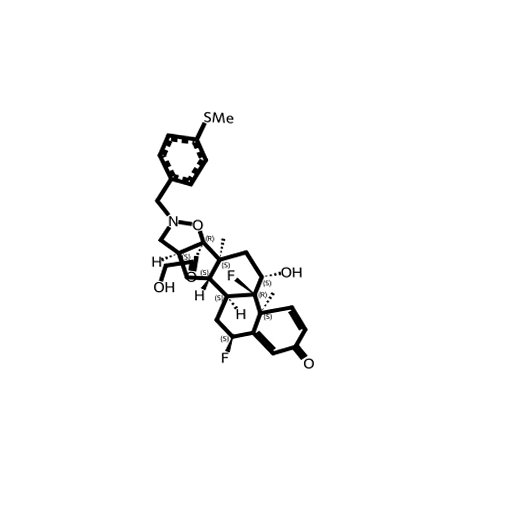 CSc1ccc(CN2C[C@@H]3C[C@H]4[C@@H]5C[C@H](F)C6=CC(=O)C=C[C@]6(C)[C@@]5(F)[C@@H](O)C[C@]4(C)[C@]3(C(=O)CO)O2)cc1